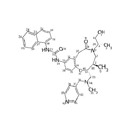 C[C@@H]1CN([C@@H](C)CO)C(=O)Cc2cc(NC(=O)Nc3cccc4ccccc34)ccc2O[C@H]1CN(C)Cc1ccncc1